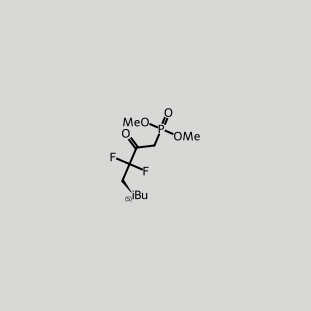 CC[C@H](C)CC(F)(F)C(=O)CP(=O)(OC)OC